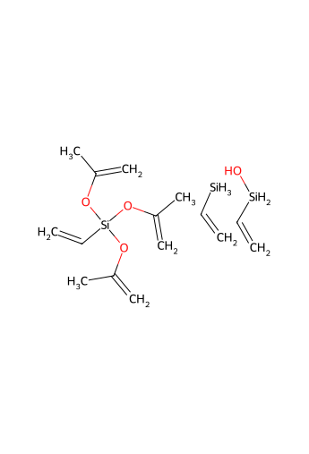 C=C[SiH2]O.C=C[SiH3].C=C[Si](OC(=C)C)(OC(=C)C)OC(=C)C